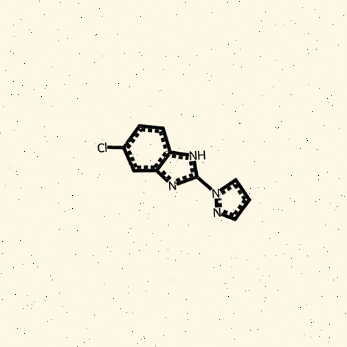 Clc1ccc2[nH]c(-n3cccn3)nc2c1